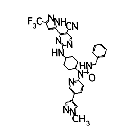 Cn1cc(-c2ccc(N(C(=O)NCc3ccccc3)C3CCC(Nc4ncc(C#N)c(-c5cc(C(F)(F)F)n[nH]5)n4)CC3)nc2)cn1